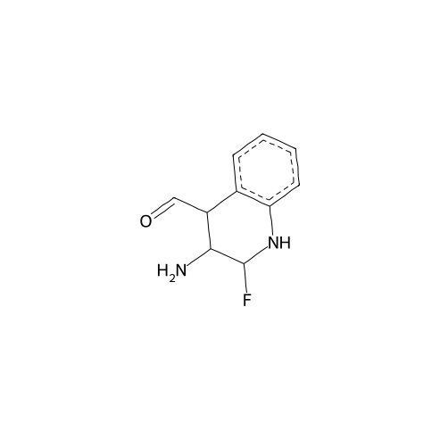 NC1C(F)Nc2ccccc2C1C=O